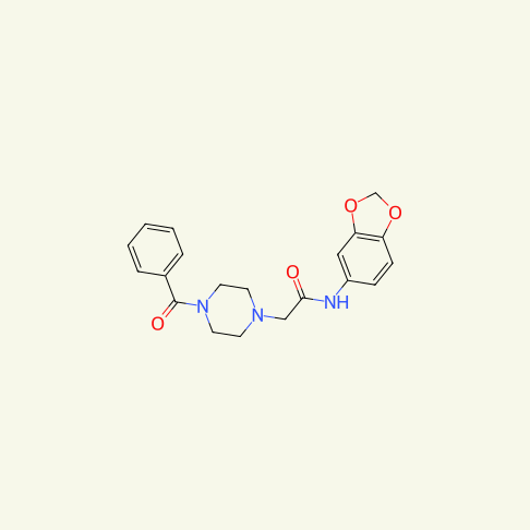 O=C(CN1CCN(C(=O)c2ccccc2)CC1)Nc1ccc2c(c1)OCO2